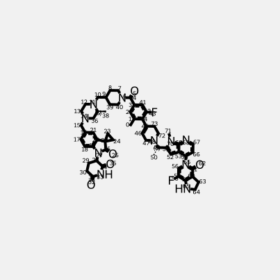 Cc1cc(C(=O)N2CCC(CN3CCN(Cc4ccc5c(c4)C4(CC4)C(=O)N5C4CCC(=O)NC4=O)C[C@@H]3C)CC2)cc(F)c1C1=CCN([C@@H](C)c2cc3c(-n4cc(F)c5c(c4=O)CCN5)ccnc3n2C)CC1